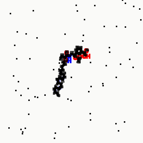 CC/C=C\C/C=C\C/C=C\C/C=C\C/C=C\CCCCOC(CC)C(=O)NCCc1cccc(C(=O)O)c1OC(C)=O